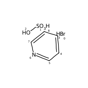 Br.O=S(=O)(O)O.c1ccncc1